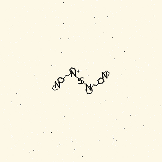 C1=CCN(CCSSCC[n+]2ccccc2/C=C/c2ccc(N3CCCC3)cc2)C(/C=C/c2ccc(N3CCCC3)cc2)=C1